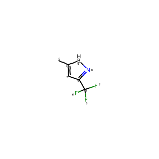 CC1=CC(C(F)(F)F)=NB1